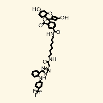 O=C(Cn1nnc(-c2ccccc2Nc2ccc(C(F)(F)F)cc2)n1)NCCCCCCCCNC(=O)c1ccc2c(c1)C(=O)OC21c2ccc(O)cc2Oc2cc(O)ccc21